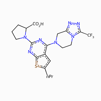 CCCc1cc2c(N3CCn4c(nnc4C(F)(F)F)C3)nc(N3CCCC3C(=O)O)nc2s1